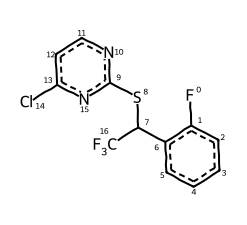 Fc1ccccc1C(Sc1nccc(Cl)n1)C(F)(F)F